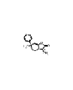 C[C@@H]1C(=O)OC2=CC(C)(c3ccccc3)CCC21